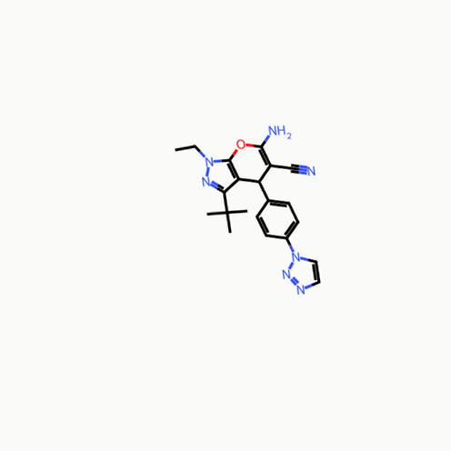 CCn1nc(C(C)(C)C)c2c1OC(N)=C(C#N)C2c1ccc(-n2ccnn2)cc1